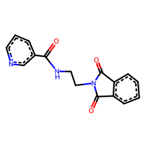 O=C(NCCN1C(=O)c2ccccc2C1=O)c1cccnc1